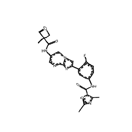 Cc1nc(C)c(C(=O)Nc2ccc(F)c(-c3cn4cc(NC(=O)C5(C)COC5)cnc4n3)c2)o1